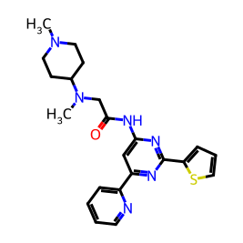 CN1CCC(N(C)CC(=O)Nc2cc(-c3ccccn3)nc(-c3cccs3)n2)CC1